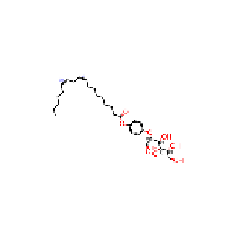 CCCCC/C=C\C/C=C\CCCCCCCC(=O)Oc1ccc(O[C@@H](C=O)[C@@H](O)[C@H](O)[C@H](O)CO)cc1